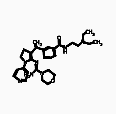 C=C(C1=C(/N=C(\N)N2CCOCC2)N(c2ccncc2)CC1)c1cccc(C(=O)NCCN(CC)CC)c1